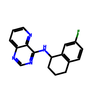 Fc1ccc2c(c1)C(Nc1ncnc3cccnc13)CCC2